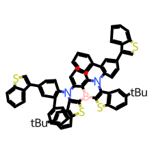 CC(C)(C)c1ccc2sc3c(c2c1)N(c1ccc(-c2csc4ccccc24)cc1-c1ccccc1)c1cccc2c1B3c1sc3ccc(C(C)(C)C)cc3c1N2c1ccc(-c2csc3ccccc23)cc1-c1ccccc1